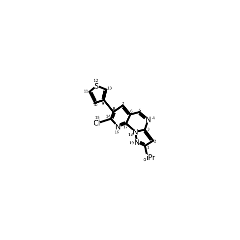 CC(C)c1cc2ncc3cc(-c4ccsc4)c(Cl)nc3n2n1